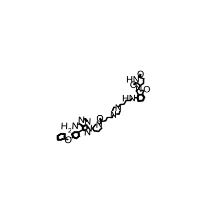 Nc1ncnc2c1c(-c1ccc(Oc3ccccc3)cc1)nn2C1CCCN(C(=O)CCCN2CCN(CCCCNc3cccc4c3CN(C3CCC(=O)NC3=O)C4=O)CC2)C1